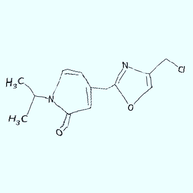 CC(C)n1ccc(-c2nc(CCl)co2)cc1=O